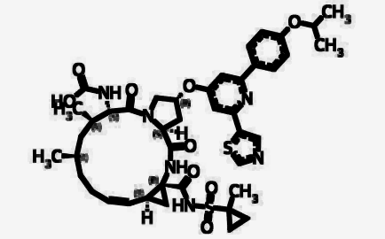 CC(C)Oc1ccc(-c2cc(O[C@@H]3C[C@H]4C(=O)N[C@]5(C(=O)NS(=O)(=O)C6(C)CC6)C[C@H]5C=CCC[C@@H](C)C[C@@H](C)[C@H](NC(=O)O)C(=O)N4C3)cc(-c3cncs3)n2)cc1